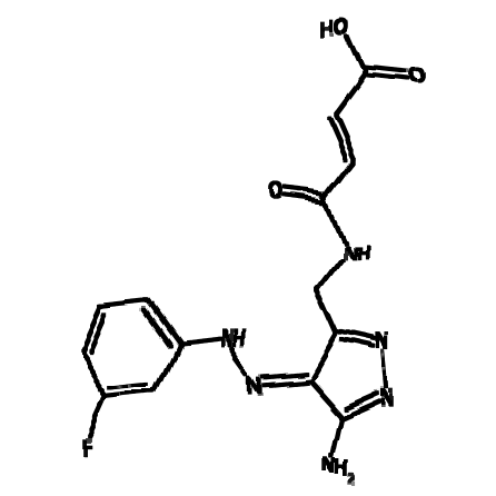 NC1=NN=C(CNC(=O)C=CC(=O)O)C1=NNc1cccc(F)c1